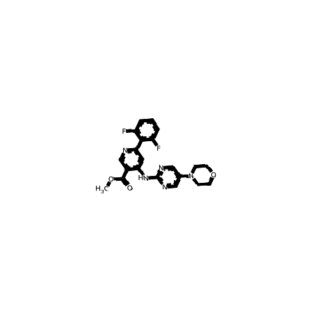 COC(=O)c1cnc(-c2c(F)cccc2F)cc1Nc1ncc(N2CCOCC2)cn1